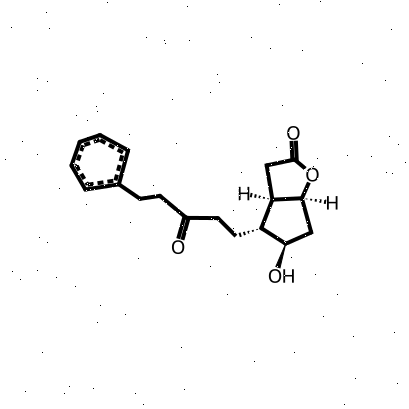 O=C(CCc1ccccc1)CC[C@@H]1[C@H]2CC(=O)O[C@H]2C[C@H]1O